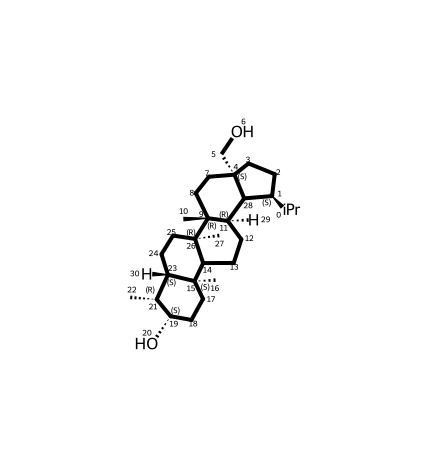 CC(C)[C@@H]1CC[C@]2(CO)CC[C@]3(C)[C@H](CCC4[C@@]5(C)CC[C@H](O)[C@H](C)[C@@H]5CC[C@]43C)C12